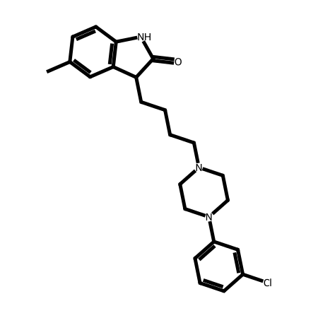 Cc1ccc2c(c1)C(CCCCN1CCN(c3cccc(Cl)c3)CC1)C(=O)N2